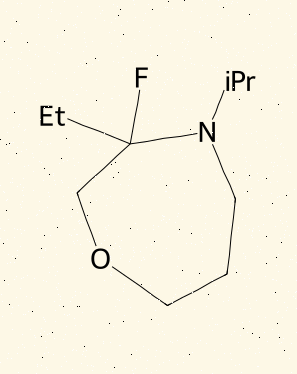 CCC1(F)COCCCN1C(C)C